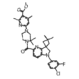 COC(=O)c1c(C)cc(N2CCN(C(=O)c3ccc4c(n3)C3(CN4c4ccc(Cl)c(F)c4)CC(C)(C)C3)C(C)(C)C2)nc1C